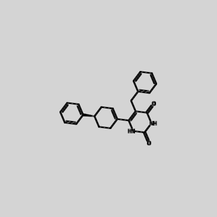 O=c1[nH]c(C2=CC[C@H](c3ccccc3)CC2)c(Cc2ccccc2)c(=O)[nH]1